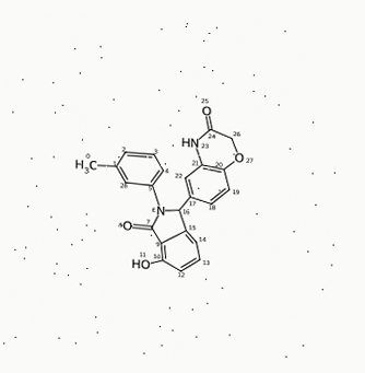 Cc1cccc(N2C(=O)c3c(O)cccc3C2c2ccc3c(c2)NC(=O)CO3)c1